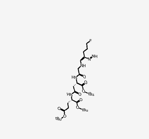 CC(C)(C)OC(=O)CC[C@H](NC(=O)C[C@H](NC(=O)CN/C=C(/CCCF)N=N)C(=O)OC(C)(C)C)C(=O)OC(C)(C)C